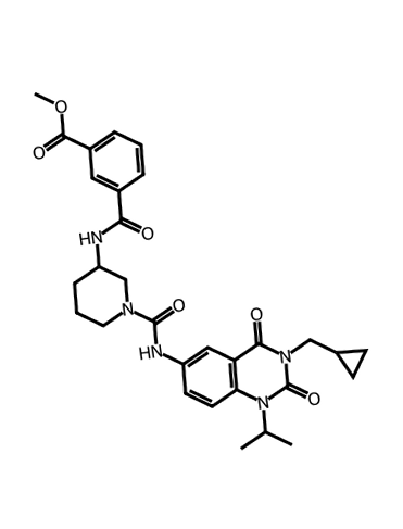 COC(=O)c1cccc(C(=O)NC2CCCN(C(=O)Nc3ccc4c(c3)c(=O)n(CC3CC3)c(=O)n4C(C)C)C2)c1